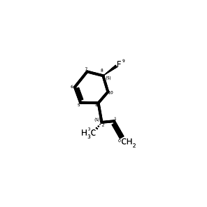 C=C[C@H](C)C1C=CC[C@@H](F)C1